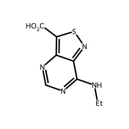 CCNc1ncnc2c(C(=O)O)snc12